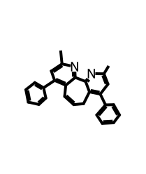 Cc1cc(-c2ccccc2)c2c(n1)-c1nc(C)cc(-c3ccccc3)c1CC=C2